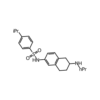 CCCNC1CCc2cc(NS(=O)(=O)c3ccc(C(C)C)cc3)ccc2C1